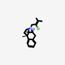 CC(C)=C(Br)CN1CC[C@@]2(C)c3ccccc3C[C@@H]1[C@H]2C